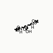 CC(C)(C)OC(=O)NCCCN(CCCNC(=O)OC(C)(C)C)CC(=O)O